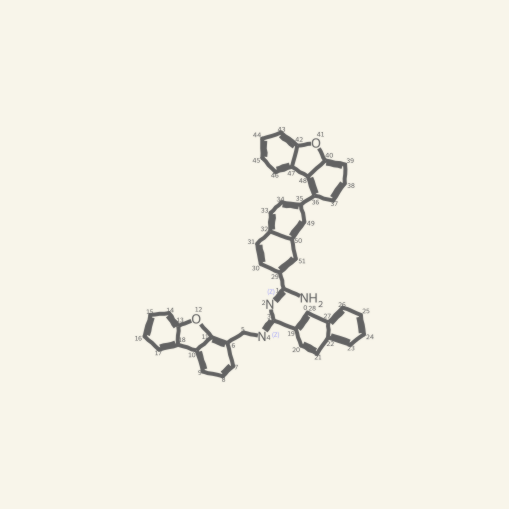 N/C(=N\C(=N/Cc1cccc2c1oc1ccccc12)c1ccc2ccccc2c1)c1ccc2ccc(-c3cccc4oc5ccccc5c34)cc2c1